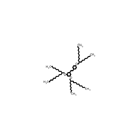 CCCCCCCCCCC(CCCCCCCC)COc1ccc(/C=C/c2cc(OCC(CCCCCCCC)CCCCCCCCCC)cc(OCC(CCCCCCCC)CCCCCCCCCC)c2)cc1